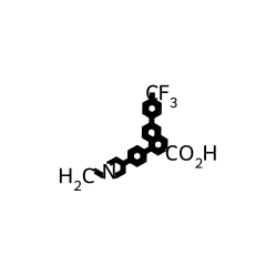 C=CCN1CCC(c2ccc(-c3cc(C(=O)O)cc4cc(-c5ccc(C(F)(F)F)cc5)ccc34)cc2)CC1